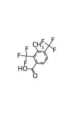 Cc1c(C(F)(F)F)ccc(C(=O)O)c1C(F)(F)F